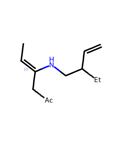 C=CC(CC)CN/C(=C\C)CC(C)=O